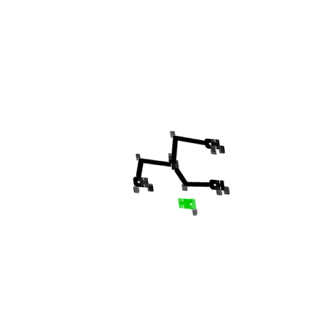 C[CH2][Ti]([CH2]C)[CH2]C.Cl